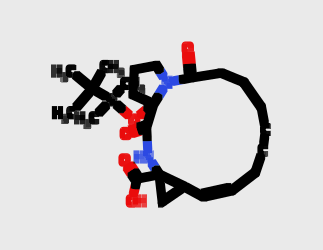 CC(C)(C)[Si](C)(C)OC12CCCN1C(=O)CCCCCCC=CC1CC1(C(=O)O)NC2=O